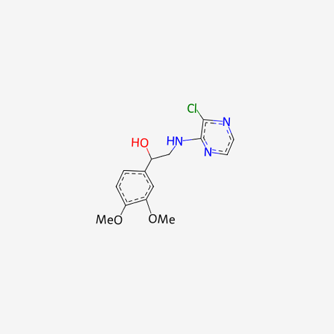 COc1ccc(C(O)CNc2nccnc2Cl)cc1OC